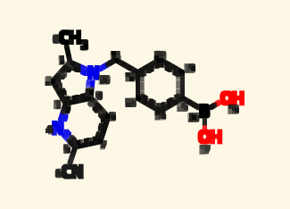 Cc1cc2nc(C#N)ccc2n1Cc1ccc(B(O)O)cc1